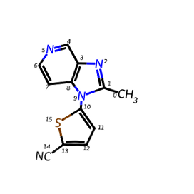 Cc1nc2cnccc2n1-c1ccc(C#N)s1